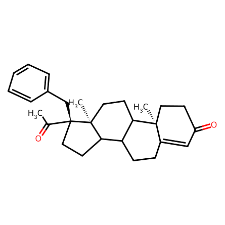 CC(=O)[C@@]1(Cc2ccccc2)CCC2C3CCC4=CC(=O)CC[C@]4(C)C3CC[C@@]21C